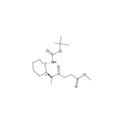 COC(=O)CCC(=O)N(C)[C@H]1CCCC[C@@H]1NC(=O)OC(C)(C)C